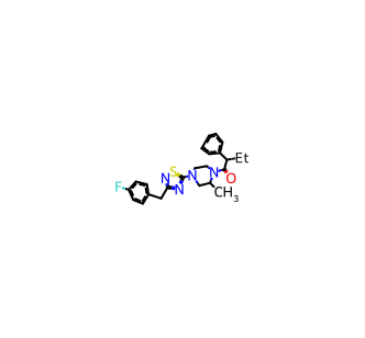 CCC(C(=O)N1CCN(c2nc(Cc3ccc(F)cc3)ns2)CC1C)c1ccccc1